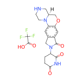 O=C(O)C(F)(F)F.O=C1CCC(N2Cc3cc4c(cc3C2=O)OC[C@@H]2CNCCN42)C(=O)N1